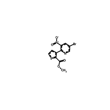 COC(=O)c1sccc1-c1ncc(Br)cc1[N+](=O)[O-]